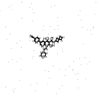 N#Cc1ccc(-c2cnc3c(c2)c(O)c(C(=O)NC2CC4(CCC4)C2)c(=O)n3CCN2CCOCC2)nc1